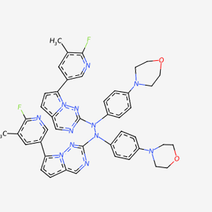 Cc1cc(-c2ccc3cnc(N(c4ccc(N5CCOCC5)cc4)N(c4ccc(N5CCOCC5)cc4)c4ncc5ccc(-c6cnc(F)c(C)c6)n5n4)nn23)cnc1F